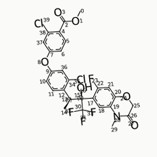 COC(=O)c1ccc(Oc2ccc([C@H](C)[C@](O)(c3cc4c(cc3F)OCC(=O)N4C)C(F)(F)F)c(Cl)c2)cc1Cl